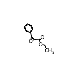 CCOC(=O)C1=C(c2ccccc2)O1